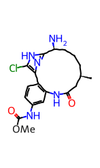 COC(=O)Nc1ccc2c(c1)NC(=O)C[C@H](C)CCC[C@H](N)c1nc-2c(Cl)[nH]1